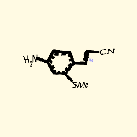 CSc1cc(N)ccc1/C=C/C#N